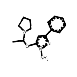 CC(Oc1cc(-c2ccccc2)nn1N)N1CCCC1